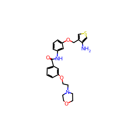 Nc1cscc1COc1cccc(NC(=O)c2cccc(OCCN3CCOCC3)c2)c1